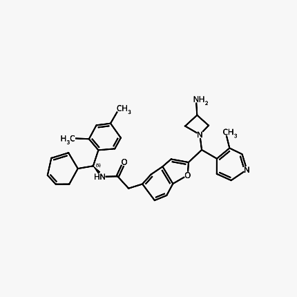 Cc1ccc([C@@H](NC(=O)Cc2ccc3oc(C(c4ccncc4C)N4CC(N)C4)cc3c2)C2C=CC=CC2)c(C)c1